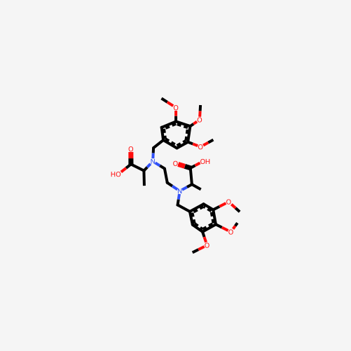 COc1cc(CN(CCN(Cc2cc(OC)c(OC)c(OC)c2)C(C)C(=O)O)C(C)C(=O)O)cc(OC)c1OC